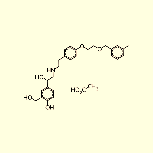 CC(=O)O.OCc1cc([C@@H](O)CNCCc2ccc(OCCOCc3cccc(I)c3)cc2)ccc1O